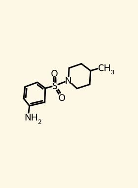 CC1CCN(S(=O)(=O)c2cccc(N)c2)CC1